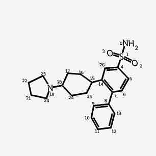 NS(=O)(=O)c1ccc(-c2ccccc2)c(C2CCC(N3CCCC3)CC2)c1